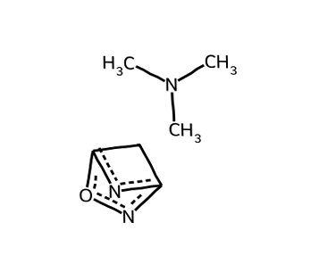 C1c2noc1n2.CN(C)C